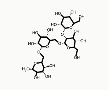 C[C@H]1OC(CO[C@H]2OC(CO[C@H]3OC(CO)[C@@H](O)C(O)[C@H]3O[C@H]3OC(CO)[C@@H](O)C(O)[C@H]3O)[C@@H](O)C(O)[C@H]2O)[C@@H](O)[C@H](O)C1O